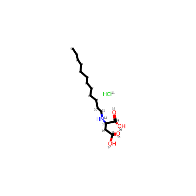 CCCCCCCCCCCCNC(CC(=O)O)C(=O)O.Cl